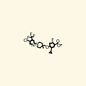 COC(=O)c1cc(C2CC2)c(OCC2(C)CCN(c3cc(C(F)(F)F)c(Cl)cn3)CC2)cc1F